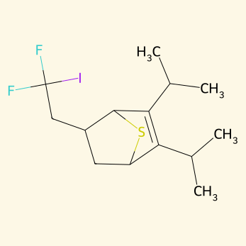 CC(C)C1=C(C(C)C)C2SC1CC2CC(F)(F)I